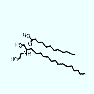 CCCCCCCCCCCC(=O)O.CCCCCCCCCCCCCCCC(CO)NCCO